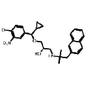 CC(C)(Cc1ccc2ccccc2c1)NC[C@@H](O)COC(c1ccc(Cl)c([N+](=O)[O-])c1)C1CC1